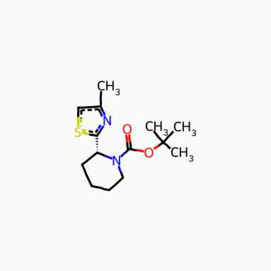 Cc1csc([C@H]2CCCCN2C(=O)OC(C)(C)C)n1